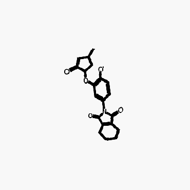 CC1CC(=O)C(Oc2cc(N3C(=O)C4=C(CCCC4)C3=O)ccc2Cl)C1